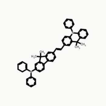 CC1(C)c2cc(/C=C/c3ccc4c(c3)C(C)(C)c3ccccc3N4c3ccccc3)ccc2-c2ccc(N(C3=CC=CCC3)c3ccccc3)cc21